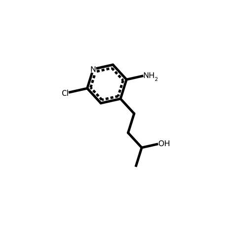 CC(O)CCc1cc(Cl)ncc1N